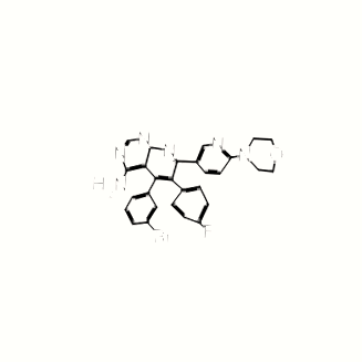 Nc1ncnc2nc(-c3ccc(N4CCOCC4)nc3)c(-c3ccc(F)cc3)c(-c3cccc(Br)c3)c12